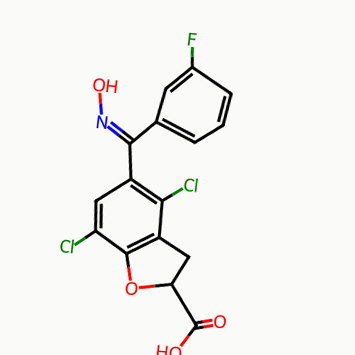 O=C(O)C1Cc2c(Cl)c(C(=NO)c3cccc(F)c3)cc(Cl)c2O1